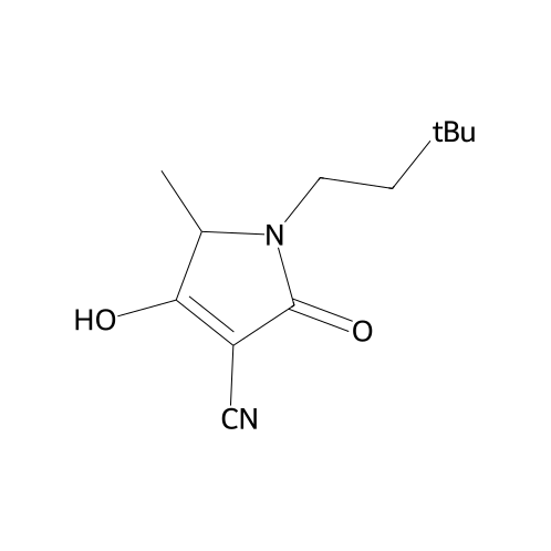 CC1C(O)=C(C#N)C(=O)N1CCC(C)(C)C